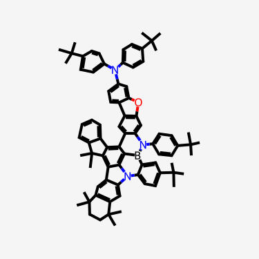 CC(C)(C)c1ccc(N2B3c4cc(C(C)(C)C)ccc4-n4c5cc6c(cc5c5c7c(c(c3c54)-c3cc4c(cc32)oc2cc(N(c3ccc(C(C)(C)C)cc3)c3ccc(C(C)(C)C)cc3)ccc24)-c2ccccc2C7(C)C)C(C)(C)CCC6(C)C)cc1